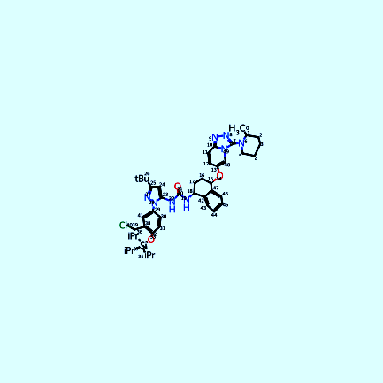 CC1CCCCN1c1nnc2ccc(O[C@@H]3CC[C@H](NC(=O)Nc4cc(C(C)(C)C)nn4-c4ccc(O[Si](C(C)C)(C(C)C)C(C)C)c(CCl)c4)c4ccccc43)cn12